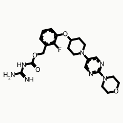 N=C(N)NC(=O)OCc1cccc(OC2CCN(c3cnc(N4CCOCC4)nc3)CC2)c1F